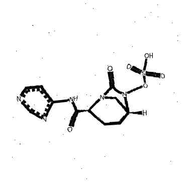 O=C(Nc1ccncn1)[C@@H]1CC[C@@H]2CN1C(=O)N2OS(=O)(=O)O